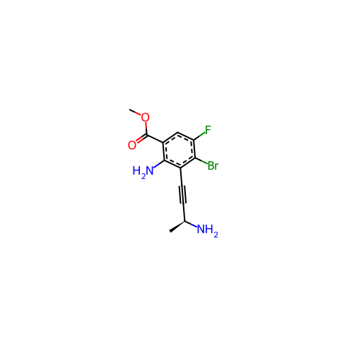 COC(=O)c1cc(F)c(Br)c(C#C[C@H](C)N)c1N